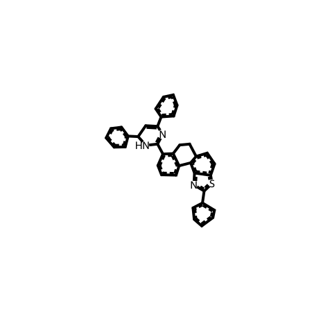 C1=C(c2ccccc2)N=C(c2cccc3c2CCc2ccc4sc(-c5ccccc5)nc4c2-3)NC1c1ccccc1